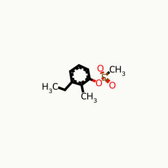 CCc1cccc(OS(C)(=O)=O)c1C